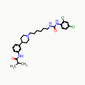 CC(C)C(=O)Nc1cccc(C2CCN(CCCCCCNC(=O)Nc3ccc(Cl)cc3Cl)CC2)c1